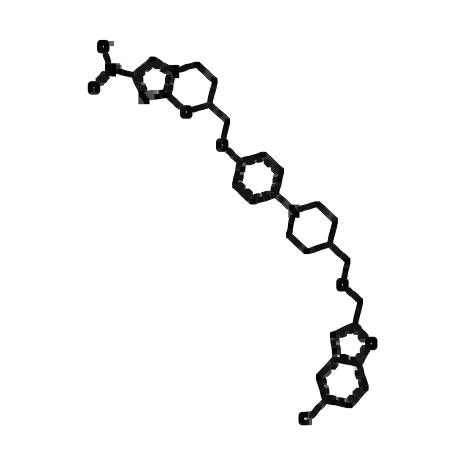 O=[N+]([O-])c1cn2c(n1)OC(COc1ccc(N3CCC(COCc4cc5cc(Cl)ccc5o4)CC3)cc1)CC2